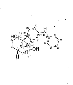 C[C@@]1(O)C[C@H]2CCC[C@@H](C1)[C@@H]2Nc1cc(Nc2ccccc2)ncc1C(=O)O